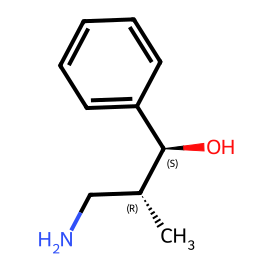 C[C@H](CN)[C@H](O)c1ccccc1